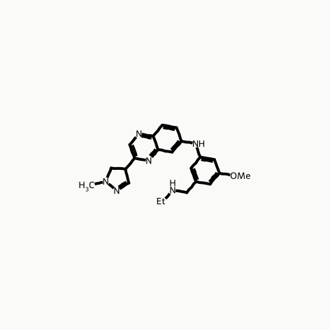 CCNCc1cc(Nc2ccc3ncc(C4C=NN(C)C4)nc3c2)cc(OC)c1